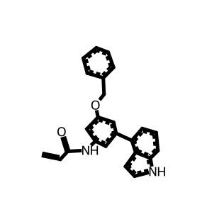 C=CC(=O)Nc1cc(OCc2ccccc2)cc(-c2cccc3[nH]ccc23)c1